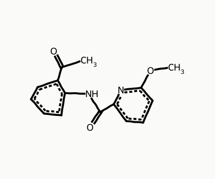 COc1cccc(C(=O)Nc2ccccc2C(C)=O)n1